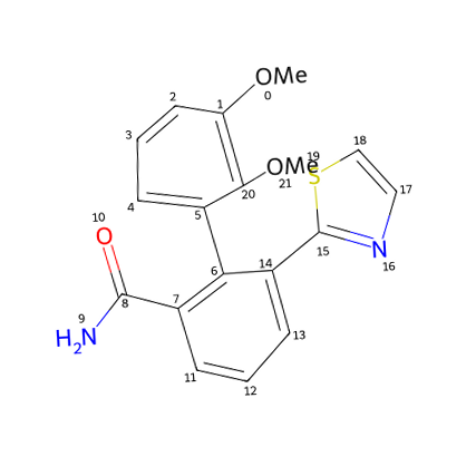 COc1cccc(-c2c(C(N)=O)cccc2-c2nccs2)c1OC